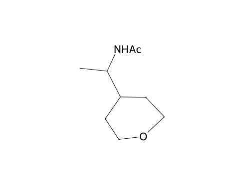 CC(=O)NC(C)C1CCOCC1